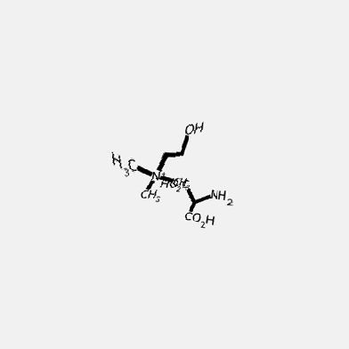 C[N+](C)(C)CCO.NC(C(=O)O)C(=O)O